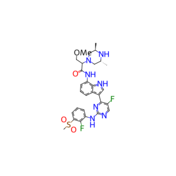 COCC(C(=O)Nc1cccc2c(-c3nc(Nc4cccc(S(C)(=O)=O)c4F)ncc3F)c[nH]c12)N1C[C@@H](C)N[C@H](C)C1